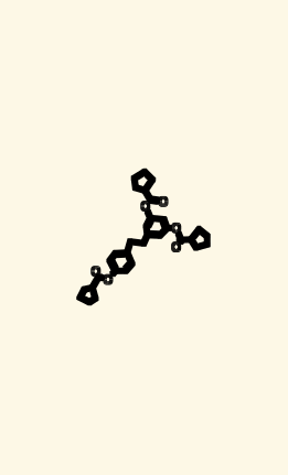 O=C(Oc1ccc(CCc2cc(OC(=O)C3CCCC3)cc(OC(=O)C3CCCC3)c2)cc1)C1CCCC1